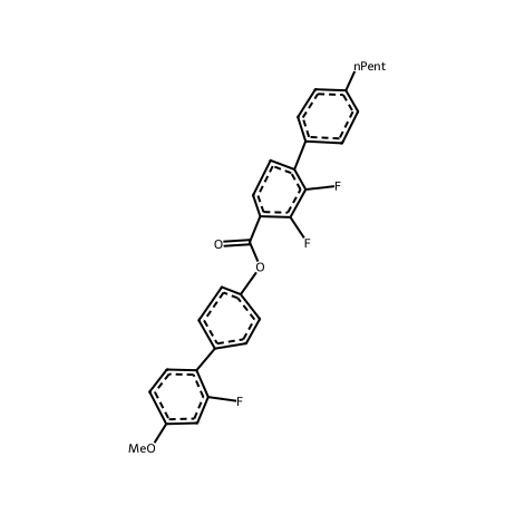 CCCCCc1ccc(-c2ccc(C(=O)Oc3ccc(-c4ccc(OC)cc4F)cc3)c(F)c2F)cc1